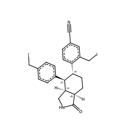 N#Cc1ccc([C@@H]2CC[C@H]3C(=O)NC[C@H]3[C@H]2c2ccc(CI)cc2)c(CI)c1